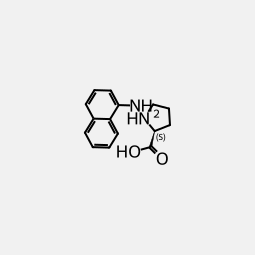 Nc1cccc2ccccc12.O=C(O)[C@@H]1CCCN1